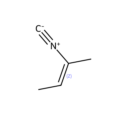 [C-]#[N+]/C(C)=C\C